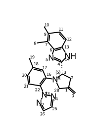 C=C1C[C@@H](c2nc3c(C)c(C)ccc3[nH]2)N(c2cc(C)c[c]c2-n2nccn2)C1